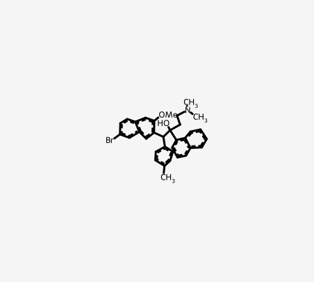 COc1cc2ccc(Br)cc2cc1C(c1ccc(C)cc1)C(O)(CCN(C)C)c1cccc2ccccc12